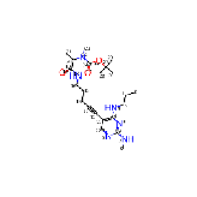 CCCNc1nc(NC)ncc1C#CCCCNC(=O)C(C)N(C)C(=O)OC(C)(C)C